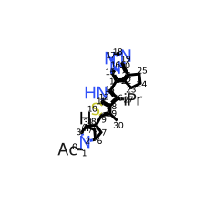 CC(=O)CN1C[C@@H]2CC1CC2c1sc2[nH]c(-c3cn4ncnc4c4c3CCC4)c(C(C)C)c2c1C